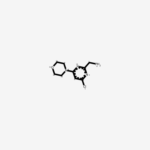 PCc1nc(Cl)cc(N2CCOCC2)n1